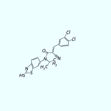 CC(C)N(C(=O)C(C#N)=Cc1ccc(Cl)c(Cl)c1)c1ccc2nc(S)sc2c1